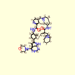 C=C(CN1C2CCCC1CC2)C(=O)N[C@@H]1CCCN(Cc2ccnc(C(=O)Nc3ccc(-c4cc5c(N6CCOCC6)ncnc5[nH]4)cc3)c2)C1